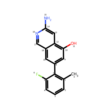 Cc1cccc(F)c1-c1cc(O)c2cc(N)ncc2c1